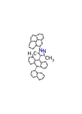 Cc1nn(-c2cc3cccc4ccc5cccc2c5c43)c(C)c1-c1c2ccccc2c(-c2cccc3ccccc23)c2ccccc12